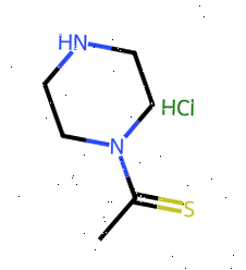 CC(=S)N1CCNCC1.Cl